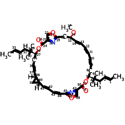 C/C=C/CC(C)(C)[C@@H]1C\C=C/C=C\C=C\[C@H](OC)Cc2nc(co2)C(=O)O[C@H](C(C)(C)C/C=C/C)C/C=C\[C@H]2C[C@H]2/C=C/C=C\c2nc(co2)C(=O)O1